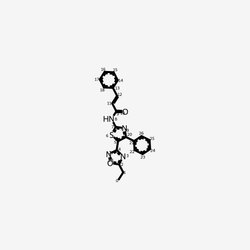 CCc1nc(-c2sc(NC(=O)/C=C/c3ccccc3)nc2-c2ccccc2)no1